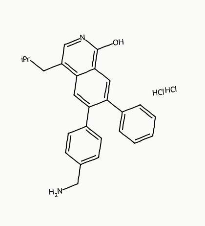 CC(C)Cc1cnc(O)c2cc(-c3ccccc3)c(-c3ccc(CN)cc3)cc12.Cl.Cl